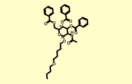 CCCCOCCCCCO[C@@H]1OC(COC(=O)c2ccccc2)[C@H](OC(=O)c2ccccc2)C(OC(=O)c2ccccc2)C1NC(C)=O